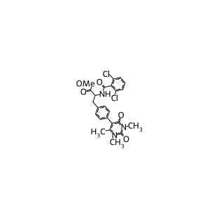 COC(=O)C(Cc1ccc(-c2c(C)n(C)c(=O)n(C)c2=O)cc1)NC(=O)c1c(Cl)cccc1Cl